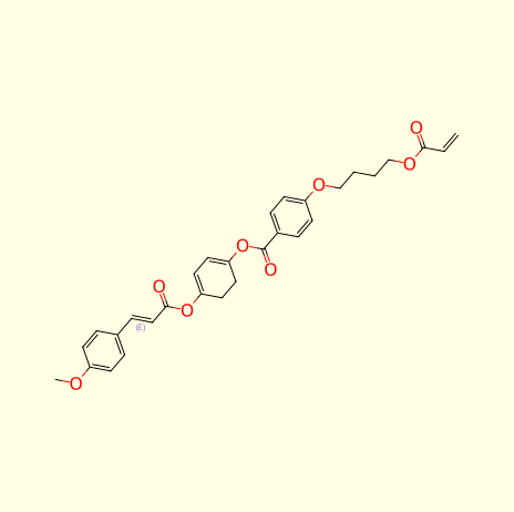 C=CC(=O)OCCCCOc1ccc(C(=O)OC2=CC=C(OC(=O)/C=C/c3ccc(OC)cc3)CC2)cc1